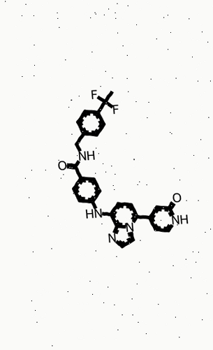 CC(F)(F)c1ccc(CNC(=O)c2ccc(Nc3ccc(-c4cc[nH]c(=O)c4)n4ccnc34)cc2)cc1